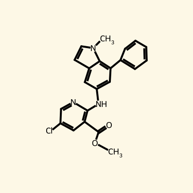 COC(=O)c1cc(Cl)cnc1Nc1cc(-c2ccccc2)c2c(ccn2C)c1